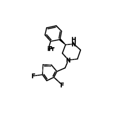 CC(C)c1ccccc1[C@@H]1CN(Cc2ccc(F)cc2F)CCN1